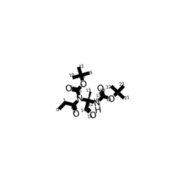 CCC(=O)N(C(=O)OC(C)(C)C)[C@@](C)([C]=O)NC(=O)OC(C)(C)C